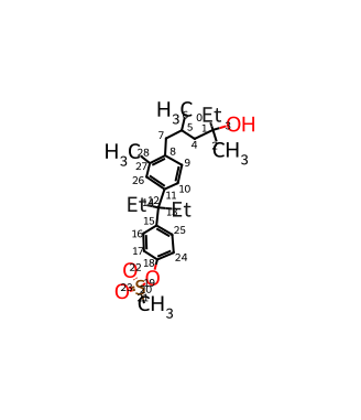 CCC(C)(O)CC(C)Cc1ccc(C(CC)(CC)c2ccc(OS(C)(=O)=O)cc2)cc1C